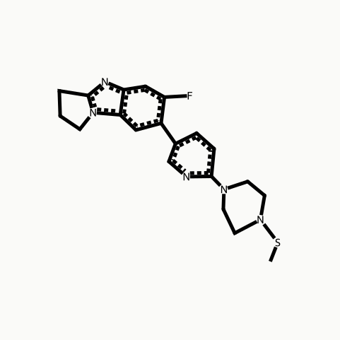 CSN1CCN(c2ccc(-c3cc4c(cc3F)nc3n4CCC3)cn2)CC1